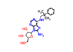 C[Si](C)(CNc1ncnc2c1nc(N)n2[C@H]1O[C@@H](CO)[C@H](O)[C@@H]1O)c1ccccc1